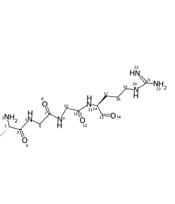 C[C@H](N)C(=O)NCC(=O)NCC(=O)N[C@H]([C]=O)CCCNC(=N)N